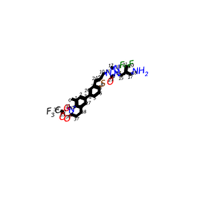 Cc1cc(-c2ccc3sc(Cn4cnn(CC(CN)=C(F)F)c4=O)cc3c2)cc2c1N(OC(=O)C(F)(F)F)C(=O)CC2